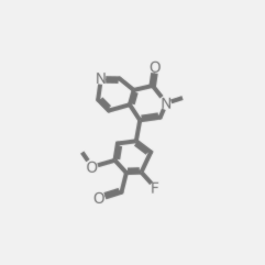 COc1cc(-c2cn(C)c(=O)c3cnccc23)cc(F)c1C=O